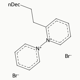 CCCCCCCCCCCCc1cccc[n+]1-[n+]1ccccc1.[Br-].[Br-]